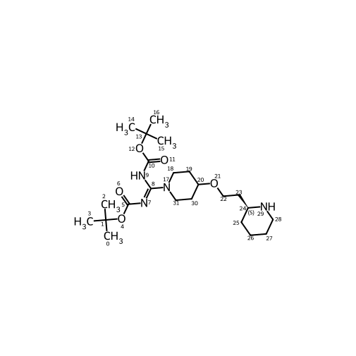 CC(C)(C)OC(=O)N=C(NC(=O)OC(C)(C)C)N1CCC(OCC[C@@H]2CCCCN2)CC1